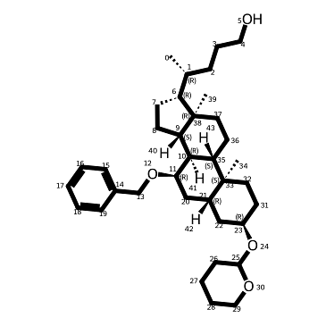 C[C@H](CCCO)[C@H]1CC[C@H]2[C@@H]3[C@H](OCc4ccccc4)C[C@H]4C[C@H](OC5CCCCO5)CC[C@]4(C)[C@H]3CC[C@]12C